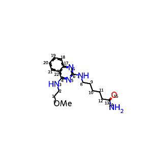 COCCNc1nc(NCCCCCC(N)=O)nc2ccccc12